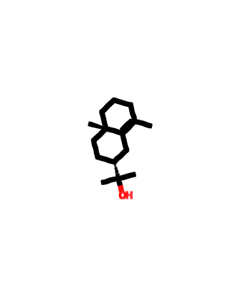 CC1=C2C[C@H](C(C)(C)O)CC[C@]2(C)CCC1